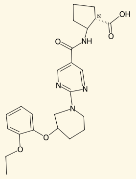 CCOc1ccccc1OC1CCCN(c2ncc(C(=O)NC3CCC[C@@H]3C(=O)O)cn2)C1